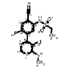 CCS(=O)(=O)Nc1cc(-c2ncnc(SC)c2Cl)c(F)cc1C#N